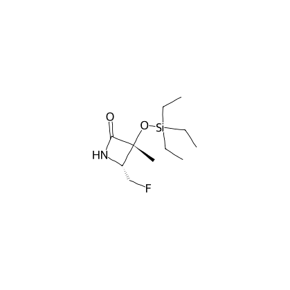 CC[Si](CC)(CC)O[C@@]1(C)C(=O)N[C@H]1CF